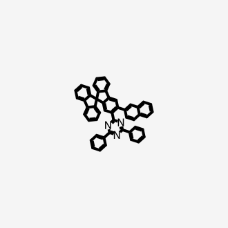 c1ccc(-c2nc(-c3ccccc3)nc(-c3cc4c(cc3-c3ccc5ccccc5c3)-c3ccccc3C43c4ccccc4-c4ccccc43)n2)cc1